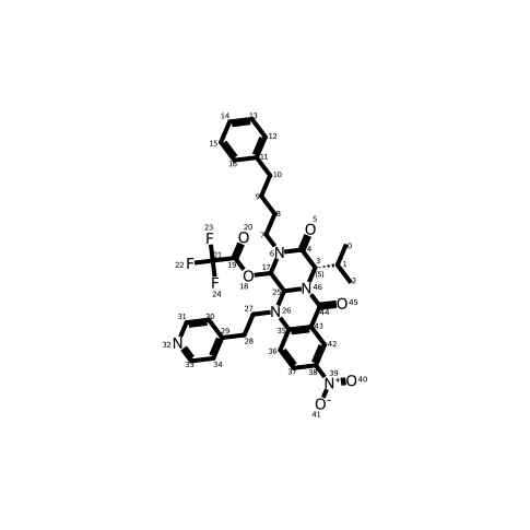 CC(C)[C@H]1C(=O)N(CCCCc2ccccc2)C(OC(=O)C(F)(F)F)C2N(CCc3ccncc3)c3ccc([N+](=O)[O-])cc3C(=O)N21